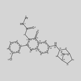 CC(C)NC(=O)Cn1c(-c2cccc(Cl)c2)nc2ccc(NC3CC4CCC(C3)N4C)cc2c1=O